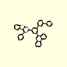 c1ccc(-c2cccc(-c3cc(-c4nc(-c5ccccc5)c5c(n4)sc4ccccc45)cc(-c4cc5ccccc5c5ccccc45)c3)c2)cc1